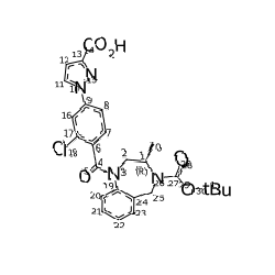 C[C@@H]1CN(C(=O)c2ccc(-n3ccc(C(=O)O)n3)cc2Cl)c2ccccc2CN1C(=O)OC(C)(C)C